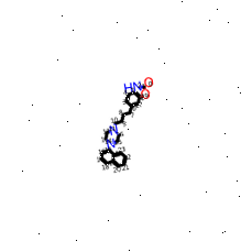 O=c1[nH]c2ccc(CCCCN3CCN(c4cccc5ccccc45)CC3)cc2o1